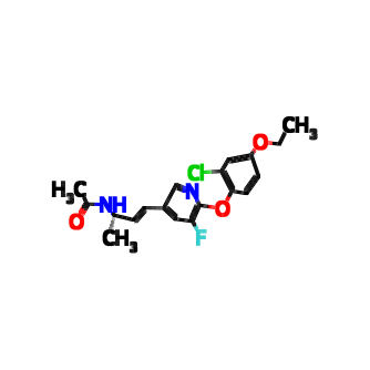 CCOc1ccc(Oc2ncc(/C=C/[C@H](C)NC(C)=O)cc2F)c(Cl)c1